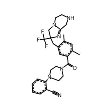 Cc1cc(C)c(C(=O)N2CCN(c3ccccc3C#N)CC2)cc1CC1(C(F)(F)F)CN2CCNCC2=N1